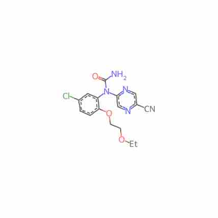 CCOCCOc1ccc(Cl)cc1N(C(N)=O)c1cnc(C#N)cn1